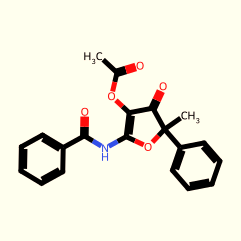 CC(=O)OC1=C(NC(=O)c2ccccc2)OC(C)(c2ccccc2)C1=O